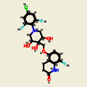 O=C1CCc2c(OCC3(O)C(O)CN(c4c(F)cc(Cl)cc4F)CC3O)ccc(F)c2N1